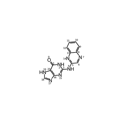 O=c1[nH]c(Nc2cnc3ccccc3n2)nc2nc[nH]c12